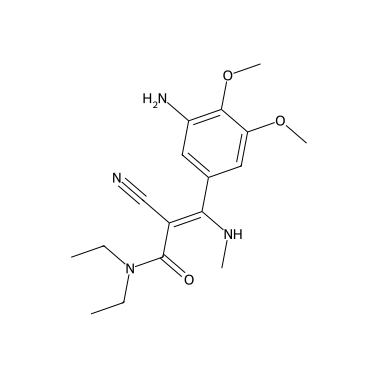 CCN(CC)C(=O)/C(C#N)=C(\NC)c1cc(N)c(OC)c(OC)c1